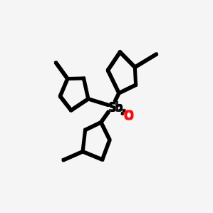 CC1CC[CH]([Sb](=[O])([CH]2CCC(C)C2)[CH]2CCC(C)C2)C1